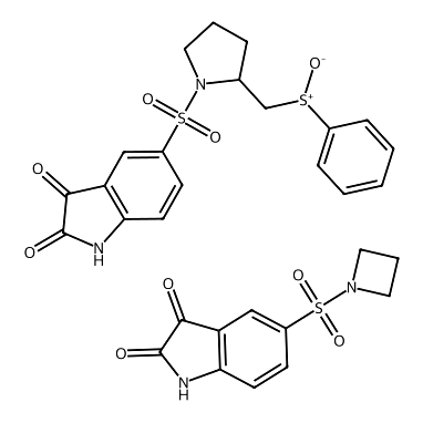 O=C1Nc2ccc(S(=O)(=O)N3CCC3)cc2C1=O.O=C1Nc2ccc(S(=O)(=O)N3CCCC3C[S+]([O-])c3ccccc3)cc2C1=O